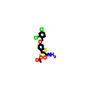 CC(=O)OSc1c(C(N)=O)sc2cc(OCc3ccc(Cl)cc3Cl)ccc12